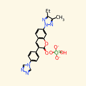 CCc1nn(-c2ccc3cc(-c4ccc(-n5cnnc5)cc4)c(=O)oc3c2)nc1C.[O-][Cl+3]([O-])([O-])O